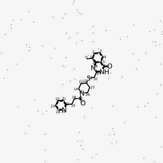 Cc1cccc2c(=O)[nH]c(CSC3CCN(C(=O)CCc4ccccn4)CC3)nc12